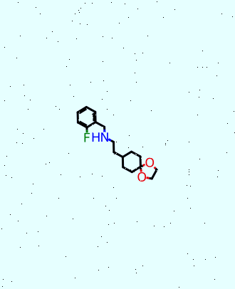 Fc1ccccc1CNCCC1CCC2(CC1)OCCO2